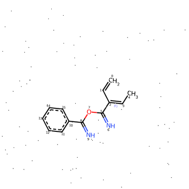 C=C/C(=C\C)C(=N)OC(=N)c1ccccc1